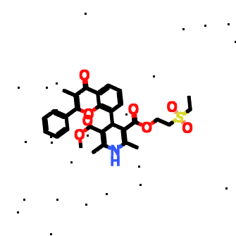 CCS(=O)(=O)CCOC(=O)C1=C(C)NC(C)=C(C(=O)OC)C1c1cccc2c(=O)c(C)c(-c3ccccc3)oc12